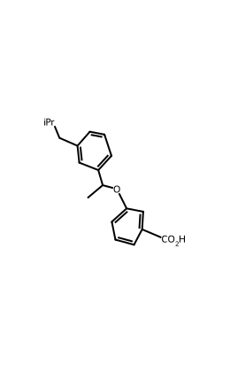 CC(C)Cc1cccc(C(C)Oc2cccc(C(=O)O)c2)c1